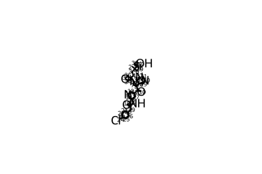 CC(C)(CCC1(n2cc(C(=O)c3cncc(NC(=O)Cc4ccc(Cl)cc4)c3)c3cncnc32)COC1)[Si](C)(C)O